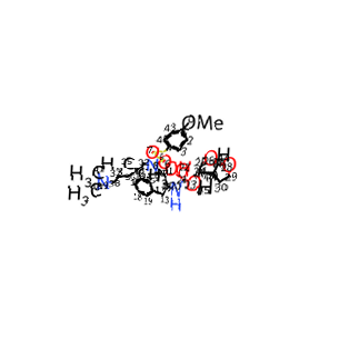 COc1ccc(S(=O)(=O)N(C[C@H](O)[C@H](Cc2ccccc2)NC(=O)O[C@H]2CO[C@H]3OCC[C@H]32)CC(C)(C)CCCN(C)C)cc1